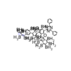 B/C=C(B)/C(B)=C(/B)c1cc(C2=C(B)C(B)=C(c3c(B)c(B)c(-c4nc(-c5ccccc5)nc(-c5ccccc5)n4)c4oc5c6c(B)c(B)c(B)c(B)c6c(B)c(B)c5c34)C2B)c(B)cc1B